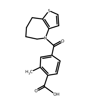 Cc1cc(C(=O)N2CCCCc3sccc32)ccc1C(=O)O